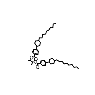 CCCCCCCCCCC1CCC(c2ccc(C(=O)OC(C)C(C)OC(=O)c3ccc(C4CCC(CCCCCCCCCC)CC4)cc3)cc2)CC1